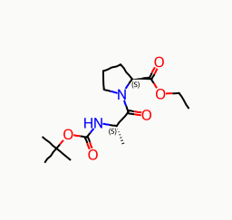 CCOC(=O)[C@@H]1CCCN1C(=O)[C@H](C)NC(=O)OC(C)(C)C